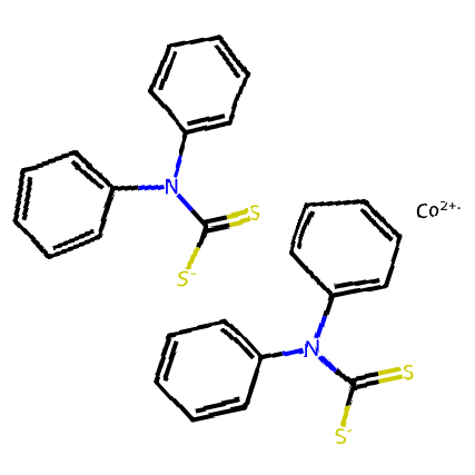 S=C([S-])N(c1ccccc1)c1ccccc1.S=C([S-])N(c1ccccc1)c1ccccc1.[Co+2]